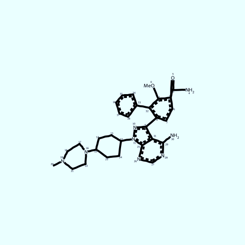 COc1c(C(N)=O)ccc(-c2nn(C3CCC(N4CCN(C)CC4)CC3)c3ncnc(N)c23)c1-c1ccccc1